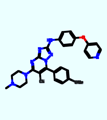 COc1ccc(-c2c(C#N)c(N3CCN(C)CC3)nc3nc(Nc4ccc(Oc5ccncc5)cc4)nn23)cc1